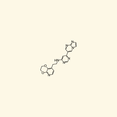 c1nc(NCCc2ccnc3c2OCCO3)cc(-c2cnc3nccn3c2)n1